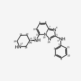 c1ccc(Nc2nc3cccc(N[C@@H]4CCCNC4)n3n2)cc1